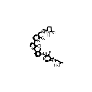 COc1nc(-c2ccnc(-c3cccc(Nc4nccc(CNCC(C)O)c4F)c3C)c2Cl)ccc1CNCC1CCC(=O)N1